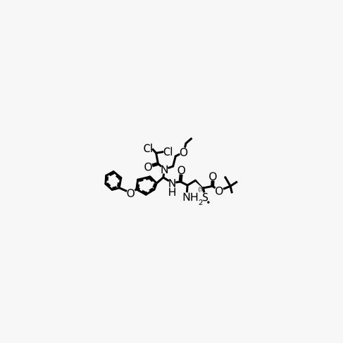 CCOCCN(C(=O)C(Cl)Cl)C(NC(=O)C(N)C[C@H](SC)C(=O)OC(C)(C)C)c1ccc(Oc2ccccc2)cc1